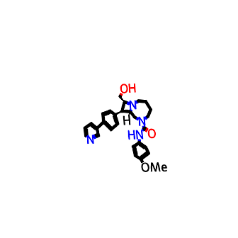 COc1ccc(NC(=O)N2CCCCN3[C@H](CO)[C@H](c4ccc(-c5cccnc5)cc4)[C@@H]3C2)cc1